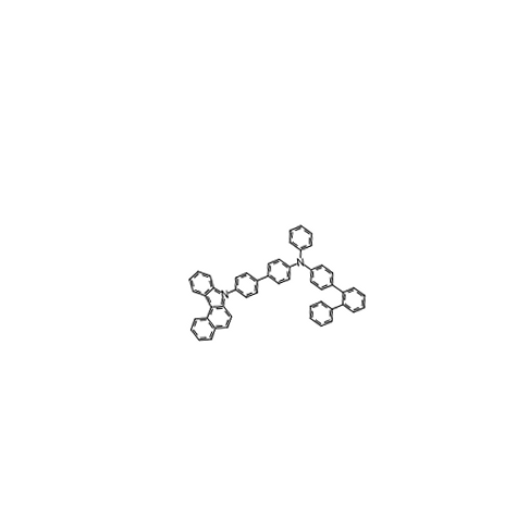 c1ccc(-c2ccccc2-c2ccc(N(c3ccccc3)c3ccc(-c4ccc(-n5c6ccccc6c6c7ccccc7ccc65)cc4)cc3)cc2)cc1